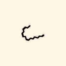 C=CCCCCC/C=C\C/C=C\C/C=C\CC